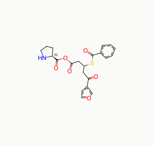 O=C(CC(CC(=O)c1ccoc1)SC(=O)c1ccccc1)OC(=O)[C@@H]1CCCN1